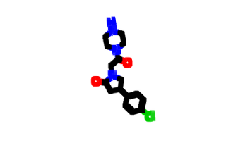 O=C(CN1CC(c2ccc(Cl)cc2)CC1=O)N1CCNCC1